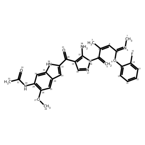 C=C(/C(C)=C\C(=N/C)Oc1ccccc1F)n1ncc(C(=O)c2cc3cc(OC)c(NC(C)=O)cc3[nH]2)c1N